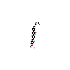 CCCCCc1ccc(-c2ccc(C3CCC(CCc4ccc(OCC)cc4F)CC3)c(F)c2F)cc1